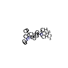 CC/C(C)=C(/CC)C(=O)OCC(=O)C/N=C1/C(=C/c2ccco2)CCCC1C(C)c1ccco1